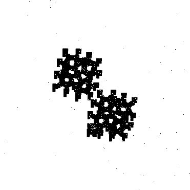 Fc1c(F)c(F)c([B-](c2c(F)c(F)c(F)c(F)c2F)(c2c(F)c(F)c(F)c(F)c2F)c2c(F)c(F)c(F)c(F)c2F)c(F)c1F.Fc1c(F)c(F)c([B-](c2c(F)c(F)c(F)c(F)c2F)(c2c(F)c(F)c(F)c(F)c2F)c2c(F)c(F)c(F)c(F)c2F)c(F)c1F.[Pt+2]